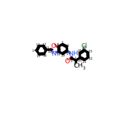 CC(C(=O)Nc1ccc2oc(-c3ccccc3)nc2c1)c1cccc(Cl)c1